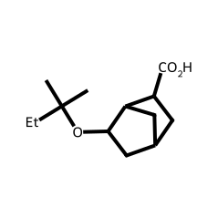 CCC(C)(C)OC1CC2CC(C(=O)O)C1C2